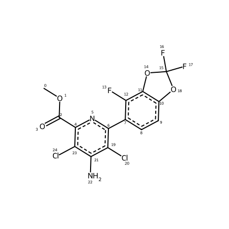 COC(=O)c1nc(-c2ccc3c(c2F)OC(F)(F)O3)c(Cl)c(N)c1Cl